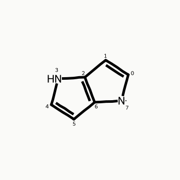 C1=Cc2[nH]ccc2[N]1